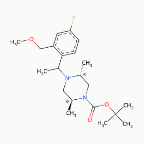 COCc1cc(F)ccc1C(C)N1C[C@H](C)N(C(=O)OC(C)(C)C)C[C@H]1C